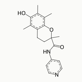 Cc1c(C)c2c(c(C)c1O)CCC(C)(C(=O)Nc1ccncc1)O2